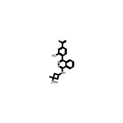 C=C(I)c1ccc(-c2nnc(NC3CC(C)(OC)C3)c3ccccc23)c(O)c1